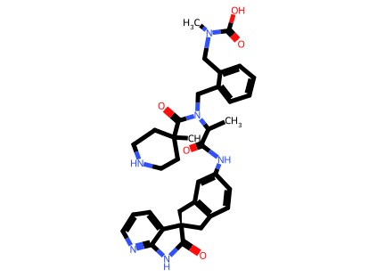 CC(C(=O)Nc1ccc2c(c1)C[C@@]1(C2)C(=O)Nc2ncccc21)N(Cc1ccccc1CN(C)C(=O)O)C(=O)C1(C)CCNCC1